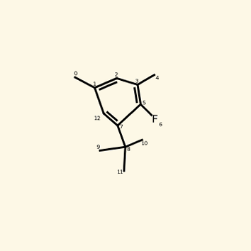 Cc1cc(C)c(F)c(C(C)(C)C)c1